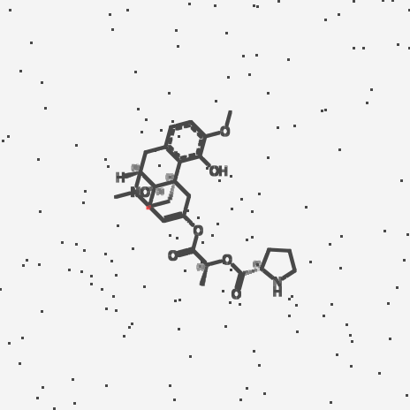 COc1ccc2c(c1O)[C@]13CCN(C)[C@H](C2)[C@]1(O)CC=C(OC(=O)[C@H](C)OC(=O)[C@@H]1CCCN1)C3